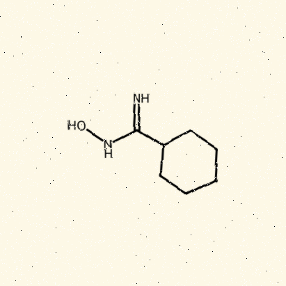 N=C(NO)C1CCCCC1